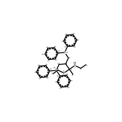 CCPC(C)(PCC)C(CP(c1ccccc1)c1ccccc1)CP(c1ccccc1)c1ccccc1